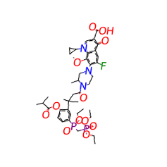 CCOP(=O)(CP(=O)(OCC)c1ccc(OC(=O)C(C)C)c(C(C)(C)CC(=O)N2CCN(c3c(F)cc4c(=O)c(C(=O)O)cn(C5CC5)c4c3OC)CC2C)c1)OCC